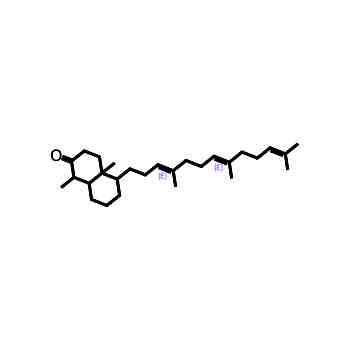 CC(C)=CCC/C(C)=C/CC/C(C)=C/CCC1CCCC2C(C)C(=O)CCC12C